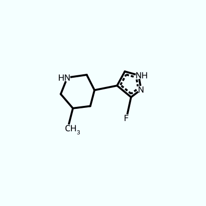 CC1CNCC(c2c[nH]nc2F)C1